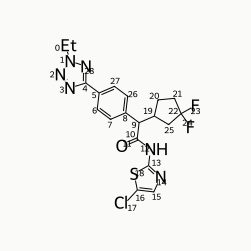 CCn1nnc(-c2ccc(C(C(=O)Nc3ncc(Cl)s3)C3CCC(F)(F)C3)cc2)n1